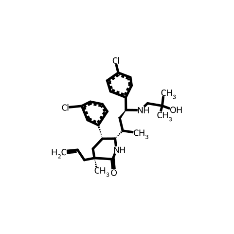 C=CC[C@@]1(C)C[C@H](c2cccc(Cl)c2)[C@H](C(C)C[C@H](NCC(C)(C)O)c2ccc(Cl)cc2)NC1=O